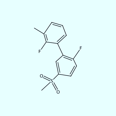 Cc1cccc(-c2cc(S(C)(=O)=O)ccc2F)c1F